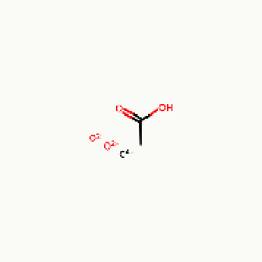 CC(=O)O.[C+4].[O-2].[O-2]